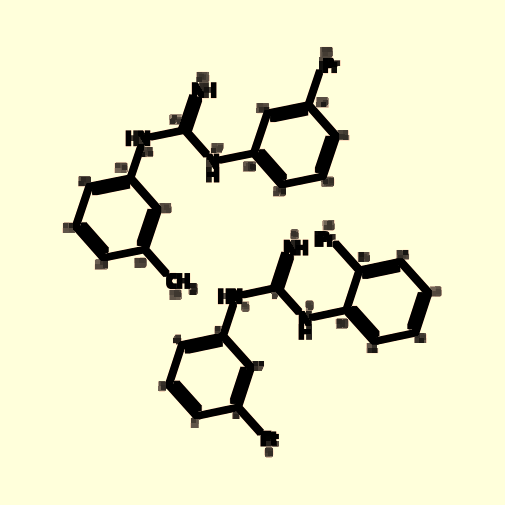 CCc1cccc(NC(=N)Nc2ccccc2C(C)C)c1.Cc1cccc(NC(=N)Nc2cccc(C(C)C)c2)c1